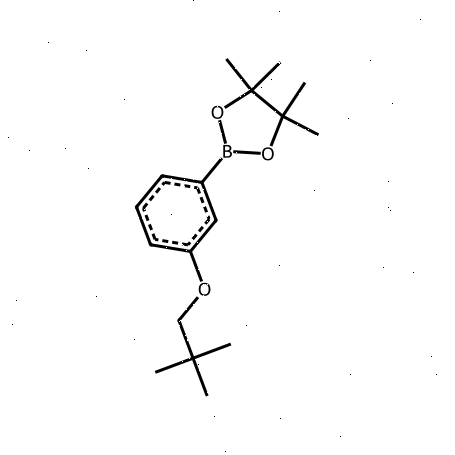 CC(C)(C)COc1cccc(B2OC(C)(C)C(C)(C)O2)c1